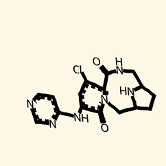 O=C1NCC2CCC(Cn3c1c(Cl)cc(Nc1ccncn1)c3=O)N2